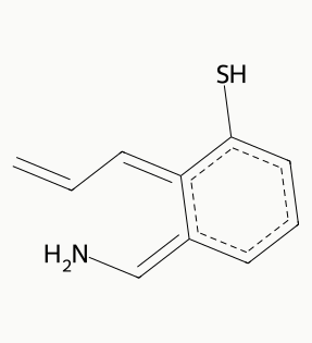 C=C/C=c1/c(S)ccc/c1=C/N